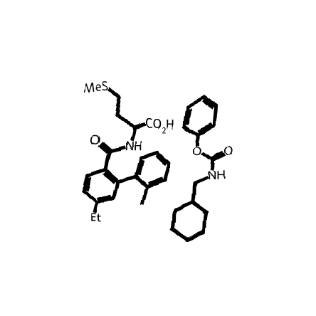 CCc1ccc(C(=O)NC(CCSC)C(=O)O)c(-c2ccccc2C)c1.O=C(NCC1CCCCC1)Oc1ccccc1